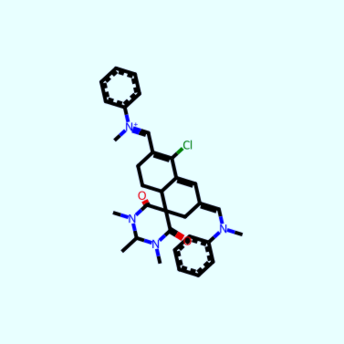 CC1N(C)C(=O)C2(C/C(=C\N(C)c3ccccc3)C=C3C(Cl)=C(/C=[N+](\C)c4ccccc4)CCC32)C(=O)N1C